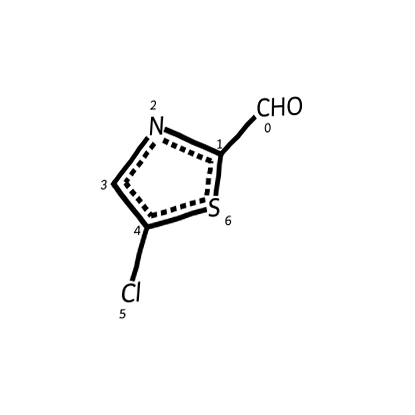 O=Cc1ncc(Cl)s1